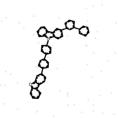 c1ccc(-c2cccc(-c3ccc4c(c3)c3ccccc3n4-c3ccc(-c4ccc(-c5ccc6c(c5)oc5ccccc56)cc4)cc3)c2)cc1